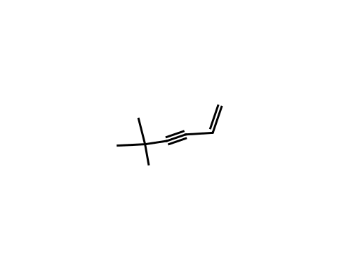 C=CC#CC(C)(C)C